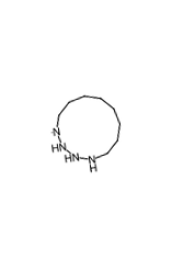 C1CCCCNNN[N]CCC1